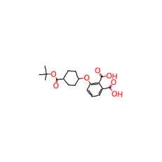 CC(C)(C)OC(=O)C1CCC(Oc2cccc(C(=O)O)c2C(=O)O)CC1